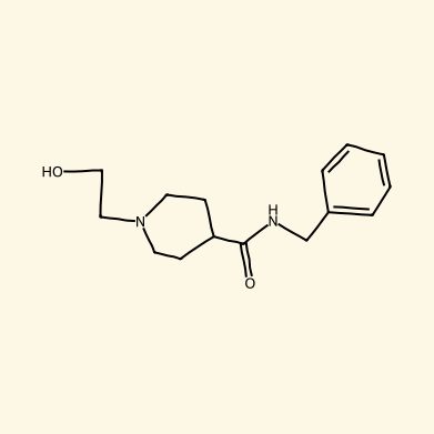 O=C(NCc1ccccc1)C1CCN(CCO)CC1